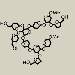 COC1CCC(OC2COC(OC3CCC(OC4COC(OC5CCC(OC6COC(OC)CC6OC6CCC(CO)O6)OC5)C(OC5CCC(CO)CO5)C4OC4CCC(CO)CO4)OC3)CC2OC2CCC(CO)O2)OC1